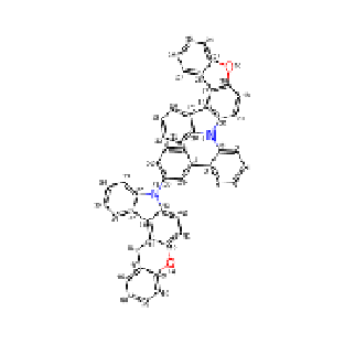 c1cc(-c2ccccc2-n2c3ccccc3c3c4c(ccc32)oc2ccccc24)cc(-n2c3ccccc3c3c4c(ccc32)Oc2ccccc2C4)c1